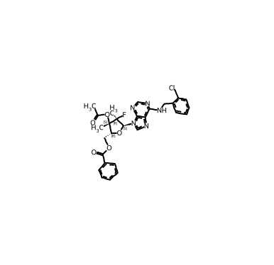 CC(=O)O[C@@]1(C)[C@@H](COC(=O)c2ccccc2)O[C@H](n2cnc3c(NCc4ccccc4Cl)ncnc32)[C@]1(C)F